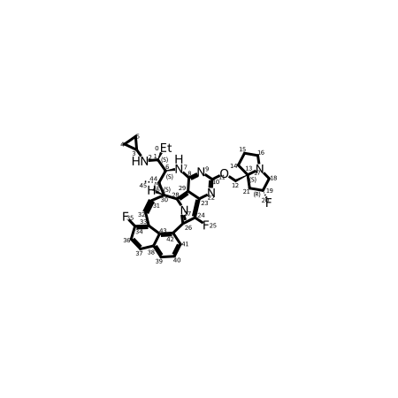 CC[C@H](NC1CC1)[C@H]1Nc2nc(OC[C@@]34CCCN3C[C@H](F)C4)nc3c(F)c4nc(c23)[C@H](C#Cc2c(F)ccc3cccc-4c23)[C@@H]1C